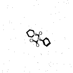 O=C(Cl)N(C(=O)N1CCCCC1)c1ccccc1